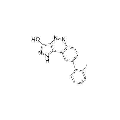 Cc1ccccc1-c1ccc2nnc3c(O)n[nH]c3c2c1